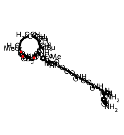 CO[C@H]1C[C@@H]2CC[C@@H](C)[C@@](O)(O2)C(=O)C(=O)N2CCCC[C@H]2C(=O)O[C@H]([C@H](N)C[C@@H]2CC[C@H](n3cc(COC(=O)NCCOCCOCCOCCC(=O)NCCOCCOCCC(=O)NCCCCn4nc(-c5ccc6oc(N)nc6c5)c5c(N)ncnc54)nn3)[C@H](OC)C2)C/C(=N/OC(C)(C)C)[C@H](C)/C=C(\C)[C@@H](O)[C@@H](O)C(=O)[C@H](C)C[C@H](C)/C=C/C=C/C=C/1C